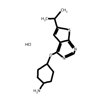 CC(C)c1cc2c(OC3CCC(N)CC3)ncnc2s1.Cl